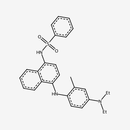 CCN(CC)c1ccc(Nc2ccc(NS(=O)(=O)c3ccccc3)c3ccccc23)c(C)c1